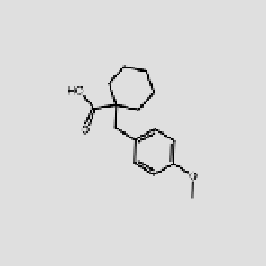 COc1ccc(CC2(C(=O)O)CCCCC2)cc1